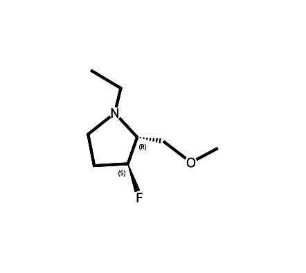 CCN1CC[C@H](F)[C@H]1COC